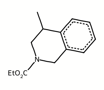 CCOC(=O)N1Cc2ccccc2C(C)C1